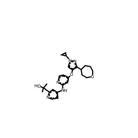 CC(C)(O)c1cc(Nc2cc(Oc3cn(C4CC4)nc3C3CCCOCC3)ccn2)ccn1